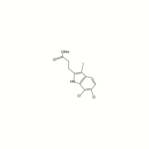 COC(=O)CCc1[nH]c2c(Cl)c(Cl)ccc2c1I